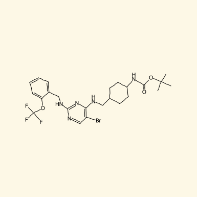 CC(C)(C)OC(=O)NC1CCC(CNc2nc(NCc3ccccc3OC(F)(F)F)ncc2Br)CC1